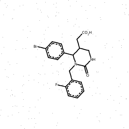 O=C(O)CC1CNC(=O)N(Cc2ccccc2F)C1c1ccc(Br)cc1